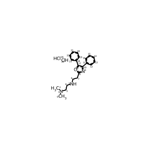 CN(C)CCNCCc1nc(-c2ccccc2)c(-c2ccccc2)o1.Cl.Cl